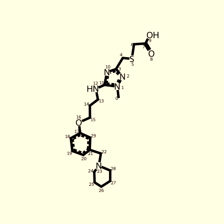 Cn1nc(CSCC(=O)O)nc1NCCCOc1cccc(CN2CCCCC2)c1